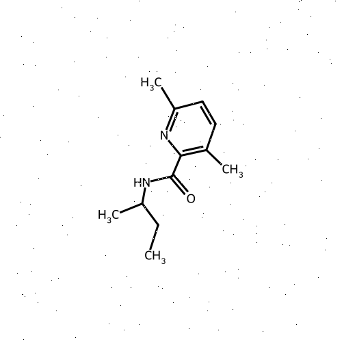 CCC(C)NC(=O)c1nc(C)ccc1C